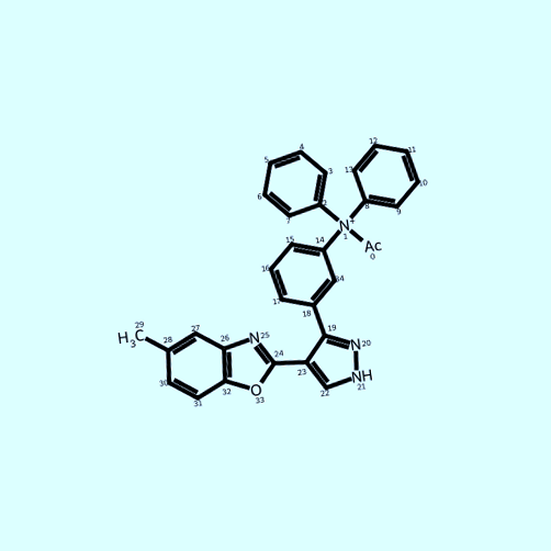 CC(=O)[N+](c1ccccc1)(c1ccccc1)c1cccc(-c2n[nH]cc2-c2nc3cc(C)ccc3o2)c1